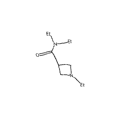 CCN1CC(C(=O)N(CC)CC)C1